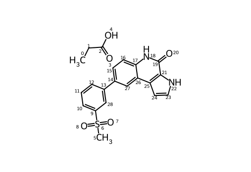 CCC(=O)O.CS(=O)(=O)c1cccc(-c2ccc3[nH]c(=O)c4[nH]ccc4c3c2)c1